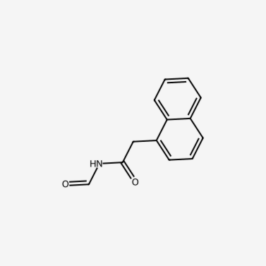 O=CNC(=O)Cc1cccc2ccccc12